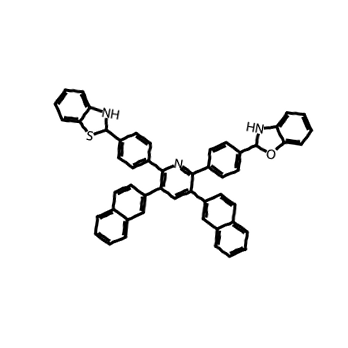 c1ccc2c(c1)NC(c1ccc(-c3nc(-c4ccc(C5Nc6ccccc6S5)cc4)c(-c4ccc5ccccc5c4)cc3-c3ccc4ccccc4c3)cc1)O2